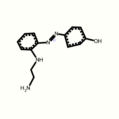 NCCNc1ccccc1/N=N/c1ccc(O)cc1